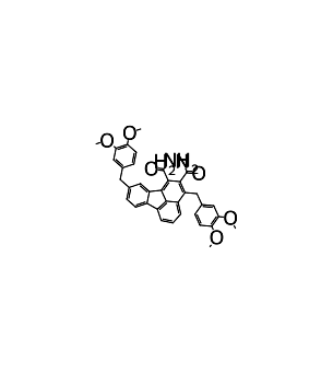 COc1ccc(Cc2ccc3c(c2)-c2c(C(N)=O)c(C(N)=O)c(Cc4ccc(OC)c(OC)c4)c4cccc-3c24)cc1OC